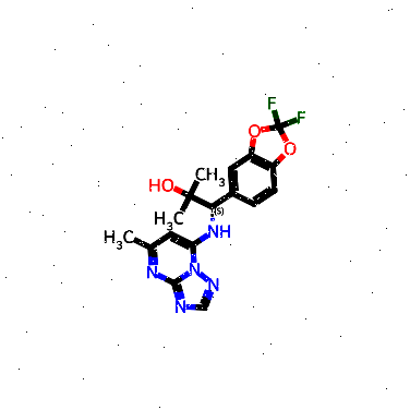 Cc1cc(N[C@@H](c2ccc3c(c2)OC(F)(F)O3)C(C)(C)O)n2ncnc2n1